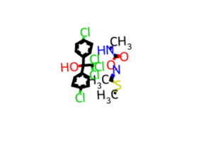 CNC(=O)O/N=C(\C)SC.OC(c1ccc(Cl)cc1)(c1ccc(Cl)cc1)C(Cl)(Cl)Cl